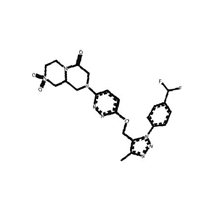 Cc1nnn(-c2ccc(C(F)F)cc2)c1COc1ccc(N2CC(=O)N3CCS(=O)(=O)CC3C2)nn1